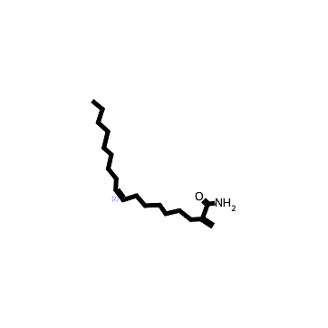 C=C(CCCCCC/C=C\CCCCCCCC)C(N)=O